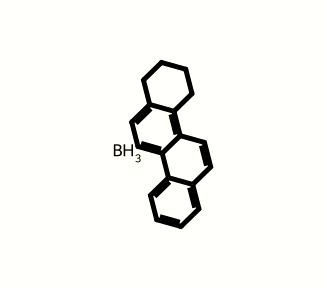 B.c1ccc2c(c1)ccc1c3c(ccc12)CCCC3